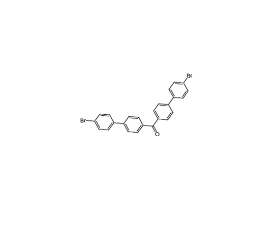 O=C(c1ccc(-c2ccc(Br)cc2)cc1)c1ccc(-c2ccc(Br)cc2)cc1